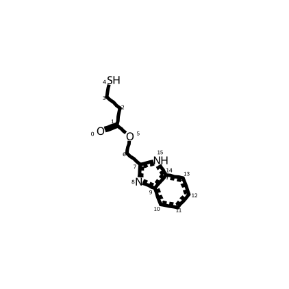 O=C(CCS)OCc1nc2ccccc2[nH]1